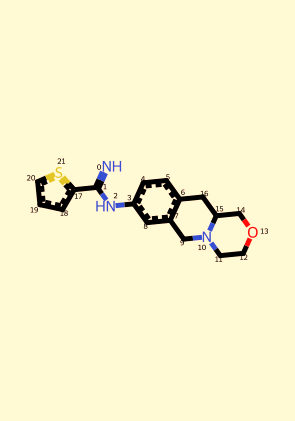 N=C(Nc1ccc2c(c1)CN1CCOCC1C2)c1cccs1